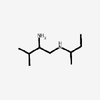 CCC(C)NCC(N)C(C)C